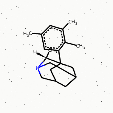 Cc1cc(C)c(C)c(C23CC4CC(CN(C4)[C@@H]2C)C3)c1